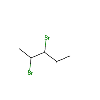 C[CH]C(Br)C(C)Br